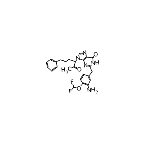 CC(=O)C(CCCc1ccccc1)n1cnc2c(=O)[nH]c(Cc3ccc(OC(F)F)c(N)c3)nc21